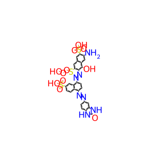 Nc1cc2c(O)c(N=Nc3ccc(N=Nc4ccc5[nH]c(=O)[nH]c5c4)c4ccc(S(=O)(=O)O)cc34)c(SOOO)cc2cc1S(=O)(=O)O